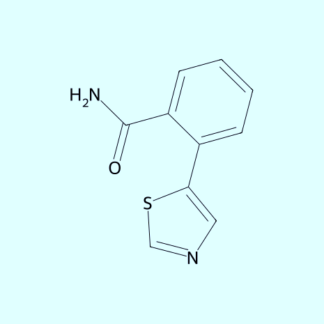 NC(=O)c1ccccc1-c1cncs1